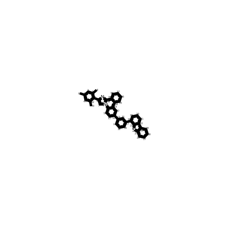 Cc1cc(C)c(-c2cn3c4ccc(-c5cccc(-c6cccc7c6sc6ccccc67)c5)cc4c4ccccc4c3n2)c(C)c1